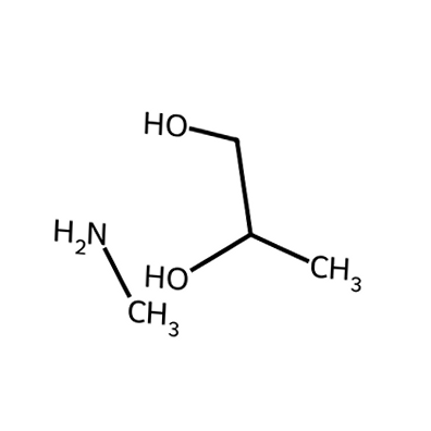 CC(O)CO.CN